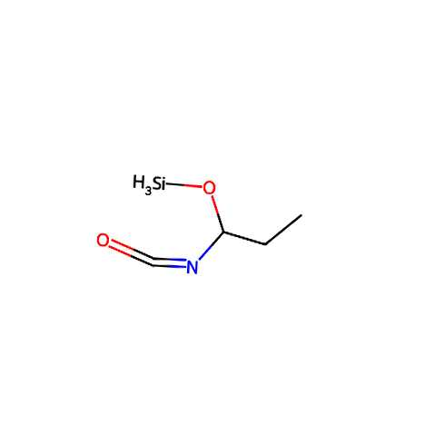 CCC(N=C=O)O[SiH3]